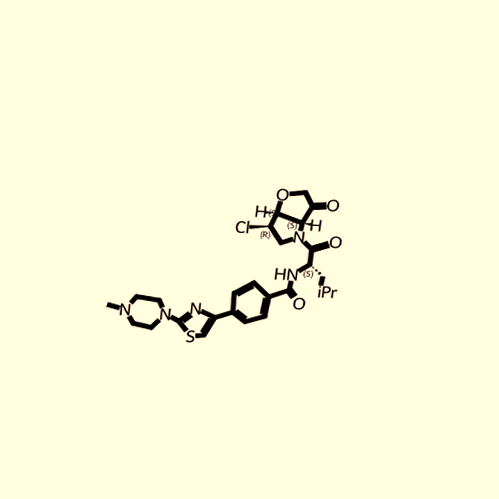 CC(C)C[C@H](NC(=O)c1ccc(-c2csc(N3CCN(C)CC3)n2)cc1)C(=O)N1C[C@@H](Cl)[C@H]2OCC(=O)[C@H]21